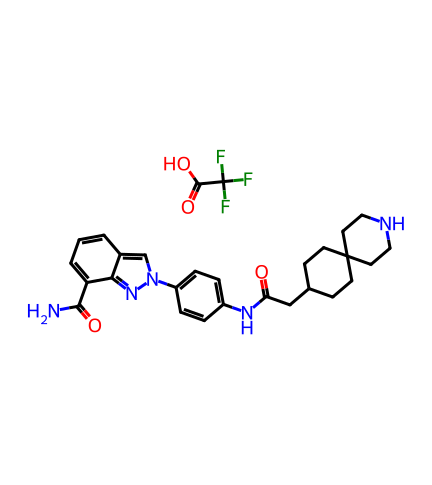 NC(=O)c1cccc2cn(-c3ccc(NC(=O)CC4CCC5(CCNCC5)CC4)cc3)nc12.O=C(O)C(F)(F)F